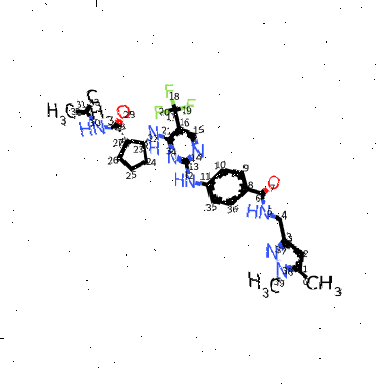 Cc1cc(CNC(=O)c2ccc(Nc3ncc(C(F)(F)F)c(N[C@@H]4CCC[C@@H]4C(=O)NC(C)C)n3)cc2)nn1C